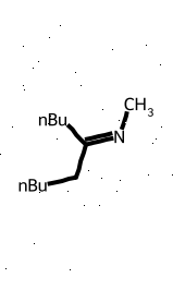 CCCCC/C(CCCC)=N/C